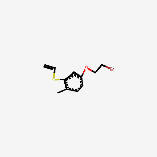 C=CSc1cc(OCCBr)ccc1C